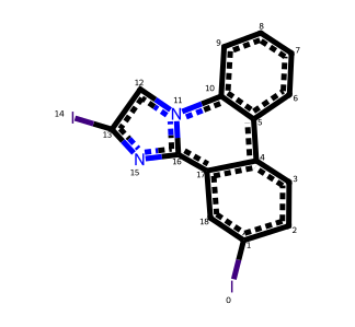 Ic1ccc2c3ccccc3n3cc(I)nc3c2c1